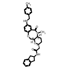 Cc1ccc(CNc2ccc3c(c2)C(=O)N(C)[C@H]2CC[C@@H](CC(=O)NC4Cc5ccccc5C4)O[C@H]2CO3)cc1